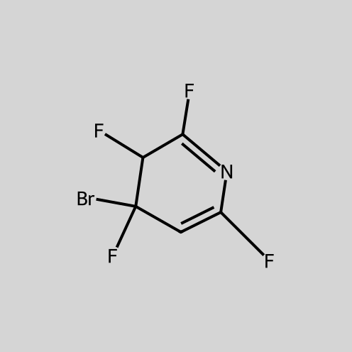 FC1=CC(F)(Br)C(F)C(F)=N1